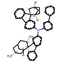 C[C@@H]1CC2C[C@@H](C1)[C@@]1(c3ccccc3-c3ccc(N(c4cccc(-c5ccccc5)c4)c4ccc5c(c4)[C@]4(C[C@H]6CC[C@@H]4C6)c4ccccc4-5)cc31)[C@@H](C)C2